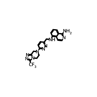 Nc1nccc2c(NCc3ccc(N4CCn5c(nnc5C(F)(F)F)C4)nn3)cccc12